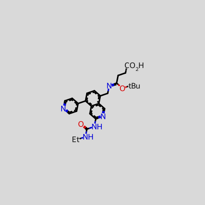 CCNC(=O)Nc1cc2c(-c3ccncc3)ccc(CN=C(CCC(=O)O)OC(C)(C)C)c2cn1